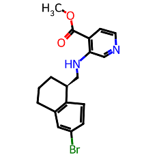 COC(=O)c1ccncc1NC[C@@H]1CCCc2cc(Br)ccc21